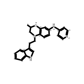 CC1CN(CCc2c[nH]c3ccccc23)c2ccc(Nc3ccncc3)cc2O1